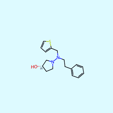 O[C@H]1CCN(N(CCc2ccccc2)Cc2cccs2)C1